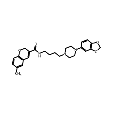 Cc1ccc2c(c1)C=C(C(=O)NCCCCN1CCN(c3ccc4c(c3)OCO4)CC1)CO2